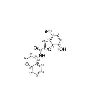 CC(C)c1ccc(O)c2oc(C(=O)N[C@H]3CCOc4ccccc43)cc12